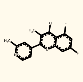 Cc1cc(-c2nc3cc(F)cc(F)c3c(Cl)c2C)ccn1